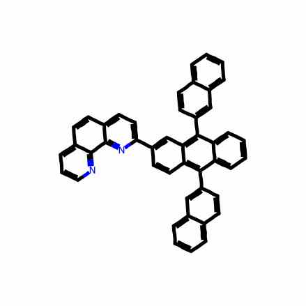 c1ccc2cc(-c3c4ccccc4c(-c4ccc5ccccc5c4)c4cc(-c5ccc6ccc7cccnc7c6n5)ccc34)ccc2c1